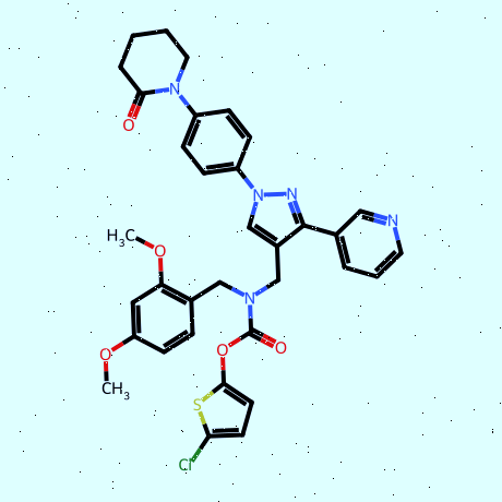 COc1ccc(CN(Cc2cn(-c3ccc(N4CCCCC4=O)cc3)nc2-c2cccnc2)C(=O)Oc2ccc(Cl)s2)c(OC)c1